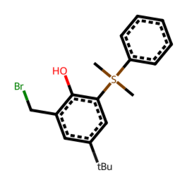 CC(C)(C)c1cc(CBr)c(O)c(S(C)(C)c2ccccc2)c1